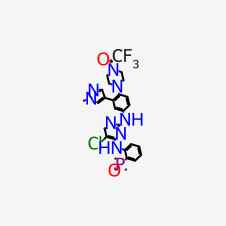 Cn1cc(-c2cc(Nc3ncc(Cl)c(Nc4ccccc4P(C)(C)=O)n3)ccc2N2CCN(C(=O)C(F)(F)F)CC2)cn1